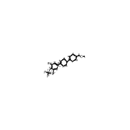 COCC1CCC(C2CC=C(c3cc(F)c(OC(F)(F)F)c(F)c3)CC2)CC1